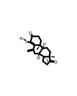 C=C1C[C@@H]2[C@@H](CC[C@]3(C)C(=O)CC[C@@H]23)[C@@]2(C)CCC(=O)C(SC(C)=O)=C12